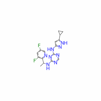 CC(Nc1ncnc(Nc2cc(C3CC3)[nH]n2)n1)c1ncc(F)cc1F